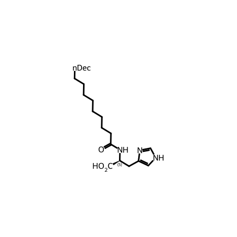 CCCCCCCCCCCCCCCCCCC(=O)N[C@@H](Cc1c[nH]cn1)C(=O)O